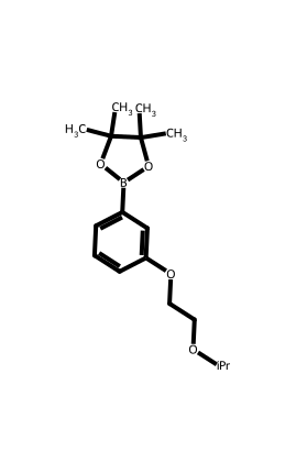 CC(C)OCCOc1cccc(B2OC(C)(C)C(C)(C)O2)c1